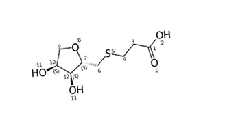 O=C(O)CCSC[C@H]1OC[C@H](O)[C@@H]1O